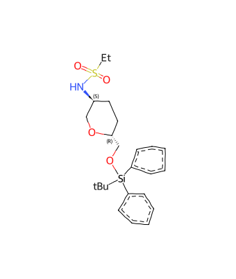 CCS(=O)(=O)N[C@H]1CC[C@H](CO[Si](c2ccccc2)(c2ccccc2)C(C)(C)C)OC1